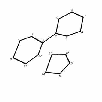 C1CCC(C2CCCCC2)CC1.C1CCCC1